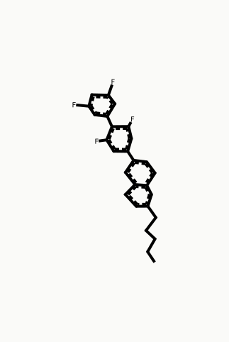 CCCCCc1ccc2cc(-c3cc(F)c(-c4cc(F)cc(F)c4)c(F)c3)ccc2c1